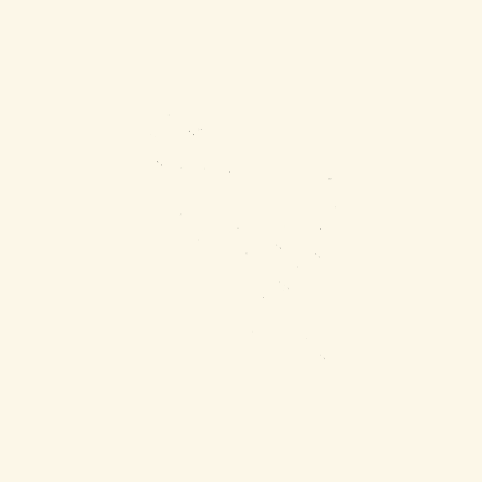 NC1CCCN(c2nc3ccccc3n2Cc2ccc(-c3ncon3)cc2)C1